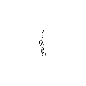 CCCCCCCCOc1ccc(COc2cc[c]cc2)cc1